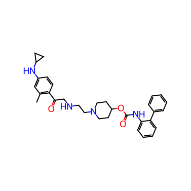 Cc1cc(NC2CC2)ccc1C(=O)CNCCN1CCC(OC(=O)Nc2ccccc2-c2ccccc2)CC1